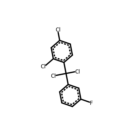 Fc1cccc(C(Cl)(Cl)c2ccc(Cl)cc2Cl)c1